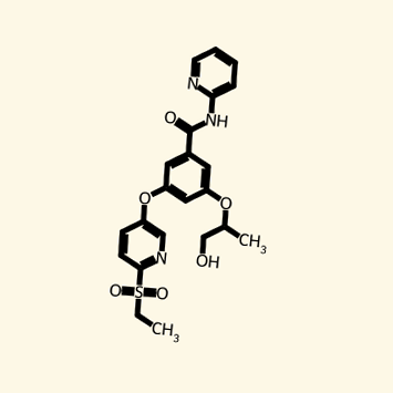 CCS(=O)(=O)c1ccc(Oc2cc(OC(C)CO)cc(C(=O)Nc3ccccn3)c2)cn1